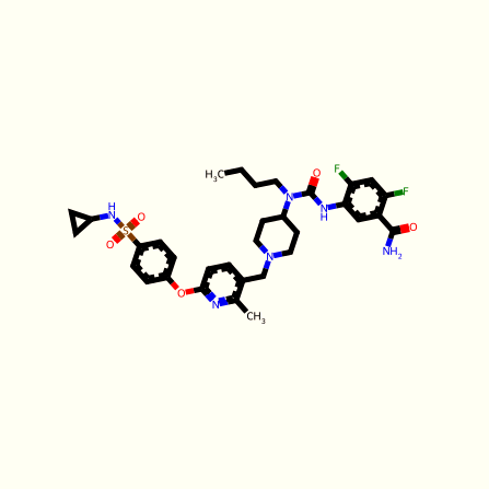 CCCCN(C(=O)Nc1cc(C(N)=O)c(F)cc1F)C1CCN(Cc2ccc(Oc3ccc(S(=O)(=O)NC4CC4)cc3)nc2C)CC1